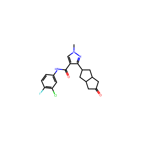 Cn1cc(C(=O)Nc2ccc(F)c(Cl)c2)c(C2CC3CC(=O)CC3C2)n1